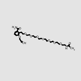 C#CCOc1cccc(C(N)=O)c1CCOCCOCCOCCOCCOCCOCCOCCNC(C)=O